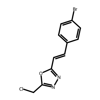 ClCc1nnc(/C=C/c2ccc(Br)cc2)o1